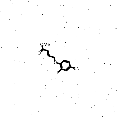 COC(=O)/C=C/COc1ccc(C#N)cc1I